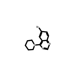 Brc1ccc2ncnc(N3CCCCC3)c2c1